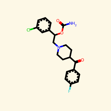 NC(=O)OC(CN1CCC(C(=O)c2ccc(F)cc2)CC1)c1cccc(Cl)c1